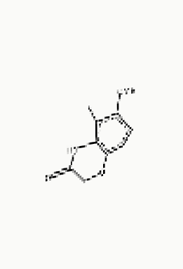 COc1ccc2c(c1C)NC(=O)CO2